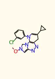 CON1C=C2N=NC3=C(N2C1)N(c1cccc(Cl)c1)C=C(C1CC1)C3